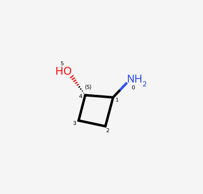 NC1CC[C@@H]1O